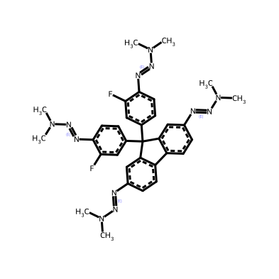 CN(C)/N=N/c1ccc2c(c1)C(c1ccc(/N=N/N(C)C)c(F)c1)(c1ccc(/N=N/N(C)C)c(F)c1)c1cc(/N=N/N(C)C)ccc1-2